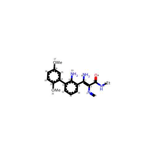 C=N/C(C(=O)NCC)=C(/N)c1cccc(-c2cc(OC)ccc2OC)c1N